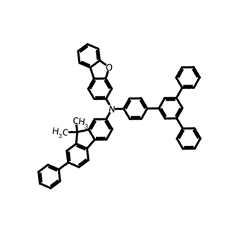 CC1(C)c2cc(-c3ccccc3)ccc2-c2ccc(N(c3ccc(-c4cc(-c5ccccc5)cc(-c5ccccc5)c4)cc3)c3ccc4c(c3)oc3ccccc34)cc21